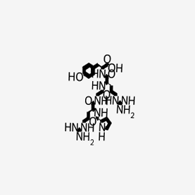 N=C(N)NCCC[C@H](NC(=O)CNC(=O)[C@H](CCCNC(=N)N)NC(=O)[C@@H]1CCCN1)C(=O)N[C@@H](Cc1ccc(O)cc1)C(=O)O